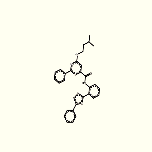 CN(C)CCNc1cc(C(=O)Nc2ccccc2-c2nnc(-c3ccccc3)s2)nc(-c2ccccc2)n1